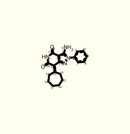 Nc1c2c(nn1-c1ccccc1)C(=C1CCCCCC1)C(=O)NC2=O